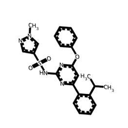 CC(C)c1ccccc1-c1cc(Oc2ccccc2)nc(NS(=O)(=O)c2cnn(C)c2)n1